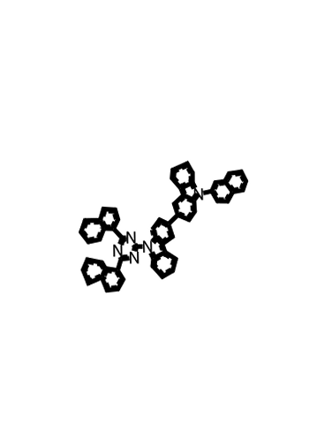 c1ccc2cc(-n3c4ccccc4c4cc(-c5ccc6c(c5)c5ccccc5n6-c5nc(-c6cccc7ccccc67)nc(-c6cccc7ccccc67)n5)ccc43)ccc2c1